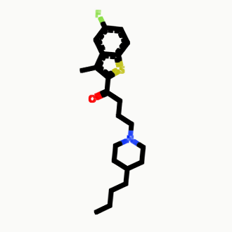 CCCCC1CCN(CCCC(=O)c2sc3ccc(F)cc3c2C)CC1